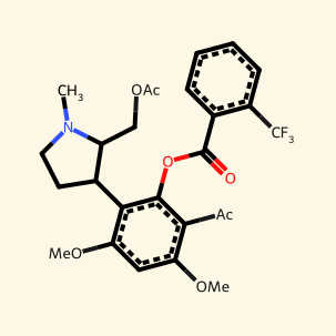 COc1cc(OC)c(C2CCN(C)C2COC(C)=O)c(OC(=O)c2ccccc2C(F)(F)F)c1C(C)=O